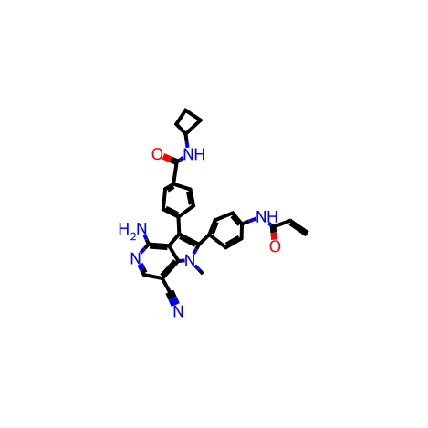 C=CC(=O)Nc1ccc(-c2c(-c3ccc(C(=O)NC4CCC4)cc3)c3c(N)ncc(C#N)c3n2C)cc1